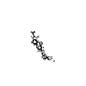 Cn1c(C2CC2)nc2ccc(-n3ccc(OCc4nc(C(F)(F)F)cs4)cc3=O)cc21